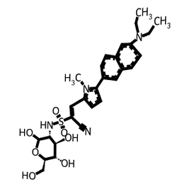 CCN(CC)c1ccc2cc(-c3ccc(/C=C(\C#N)S(=O)(=O)N[C@H]4C(O)O[C@H](CO)[C@@H](O)[C@@H]4O)n3C)ccc2c1